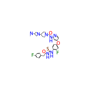 CN(C)C1CN(C2CCN(C(=O)Nc3cc(Oc4ccc(NC(=S)NC(=O)Cc5ccc(F)cc5)c(F)c4)ccn3)CC2)C1